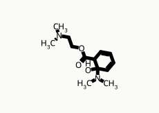 CN(C)CCOC(=O)C1C=CC=CC1(O)N(C)C